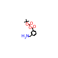 CC(C)(C)OC(=O)OC(=O)c1cccc(CN)c1